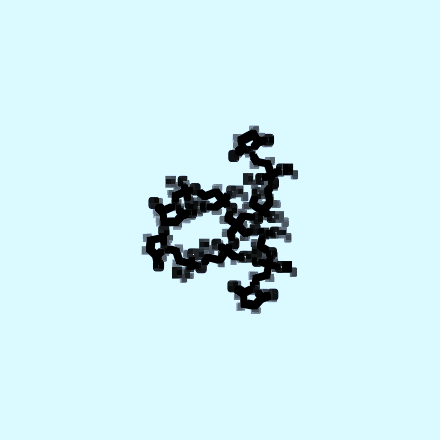 CCC(C)(CCOC(C)(C)CCN1C(=O)C=CC1=O)OCC(CON(C)COC(C)(C)CCN1C(=O)C=CC1=O)(COC(C)(CC)CCOC(C)(C)CCN1C(=O)C=CC1=O)COC(C)(CC)CCOC(C)(C)CN1C(=O)C=CC1=O